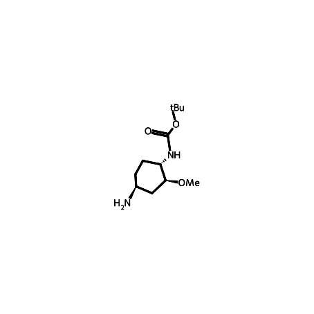 CO[C@H]1C[C@@H](N)CC[C@@H]1NC(=O)OC(C)(C)C